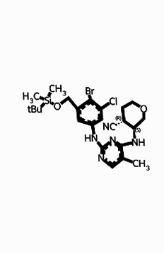 Cc1cnc(Nc2cc(Cl)c(Br)c(CO[Si](C)(C)C(C)(C)C)c2)nc1N[C@@H]1COCC[C@H]1C#N